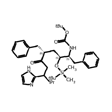 CC(C)C(CC(=O)[C@H](Cc1ccccc1)C[C@H](O[Si](C)(C)C(C)(C)C)[C@H](Cc1ccccc1)NC(=O)OC(C)(C)C)c1ncc[nH]1